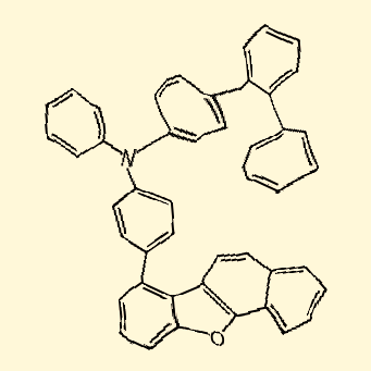 c1ccc(-c2ccccc2-c2ccc(N(c3ccccc3)c3ccc(-c4cccc5oc6c7ccccc7ccc6c45)cc3)cc2)cc1